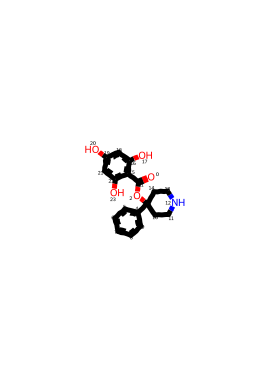 O=C(OC1(c2ccccc2)CCNCC1)c1c(O)cc(O)cc1O